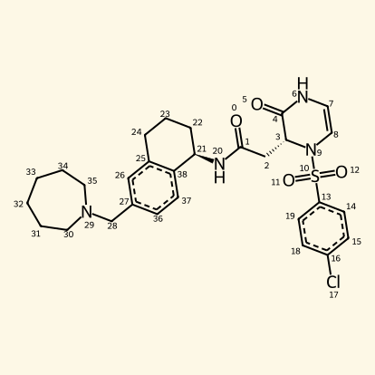 O=C(C[C@@H]1C(=O)NC=CN1S(=O)(=O)c1ccc(Cl)cc1)N[C@@H]1CCCc2cc(CN3CCCCCC3)ccc21